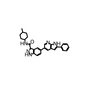 CC1CCC(NC(=O)c2n[nH]c3ccc(-c4cnc5[nH]c(-c6ccccc6)cc5c4)cc23)CC1